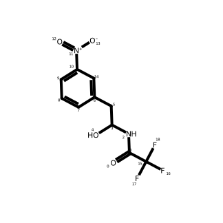 O=C(NC(O)Cc1cccc([N+](=O)[O-])c1)C(F)(F)F